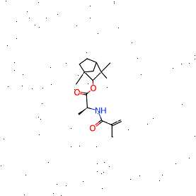 C=C(C)C(=O)N[C@@H](C)C(=O)OC1C2(C)CCC(C2)C1(C)C